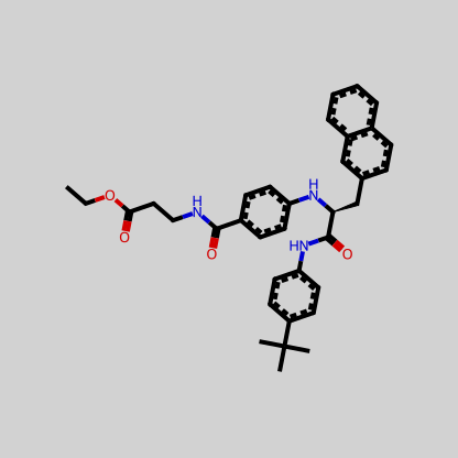 CCOC(=O)CCNC(=O)c1ccc(N[C@@H](Cc2ccc3ccccc3c2)C(=O)Nc2ccc(C(C)(C)C)cc2)cc1